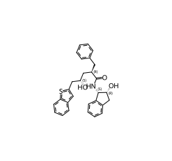 O=C(N[C@H]1c2ccccc2C[C@H]1O)[C@H](Cc1ccccc1)C[C@H](O)Cc1cc2ccccc2s1